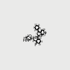 [CH2][C@H]1CO[C@H](CCc2c(F)cccc2NC(=O)C[C@H](c2ccccc2)c2ccncc2)CN1